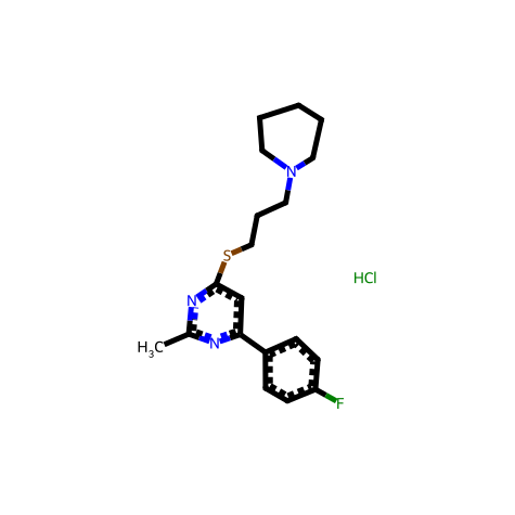 Cc1nc(SCCCN2CCCCC2)cc(-c2ccc(F)cc2)n1.Cl